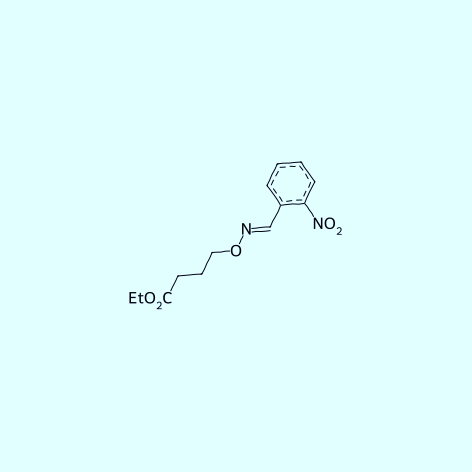 CCOC(=O)CCCON=Cc1ccccc1[N+](=O)[O-]